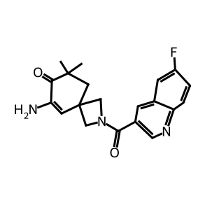 CC1(C)CC2(C=C(N)C1=O)CN(C(=O)c1cnc3ccc(F)cc3c1)C2